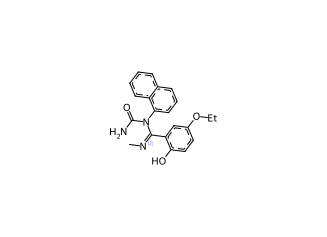 CCOc1ccc(O)c(/C(=N/C)N(C(N)=O)c2cccc3ccccc23)c1